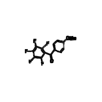 COc1ccc(C(=O)c2c(F)c(F)c(F)c(F)c2F)cc1